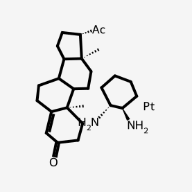 CC(=O)[C@H]1CCC2C3CCC4=CC(=O)CC[C@]4(C)C3CC[C@@]21C.N[C@@H]1CCCC[C@H]1N.[Pt]